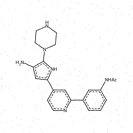 CC(=O)Nc1cccc(-c2cc(-c3cc(N)c(N4CCNCC4)[nH]3)ccn2)c1